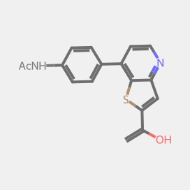 C=C(O)c1cc2nccc(-c3ccc(NC(C)=O)cc3)c2s1